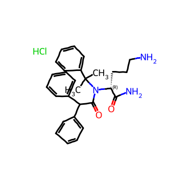 CC(C)(c1ccccc1)N(C(=O)C(c1ccccc1)c1ccccc1)[C@H](CCCN)C(N)=O.Cl